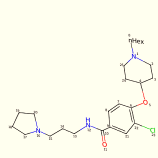 CCCCCCN1CCC(Oc2ccc(C(=O)NCCCN3CCCC3)cc2Cl)CC1